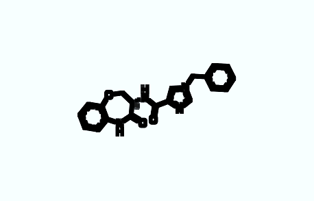 O=C(N[C@H]1COc2ccccc2NC1=O)c1cn(Cc2ccccc2)cn1